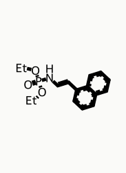 CCOP(=O)(NC=Cc1cccc2ccccc12)OCC